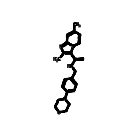 Cc1ccn2c(C(=O)NCc3ccc(N4CCOCC4)cc3)c(C)nc2c1